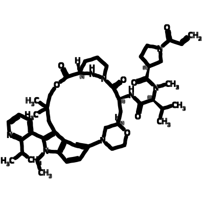 C=CC(=O)N1CC[C@H](C(=O)N(C)[C@H](C(=O)N[C@H]2C[C@H]3CN(CCO3)c3ccc4c(c3)c(c(-c3cccnc3C(C)C)n4CC)CC(C)(C)COC(=O)[C@@H]3CCCN(N3)C2=O)C(C)C)C1